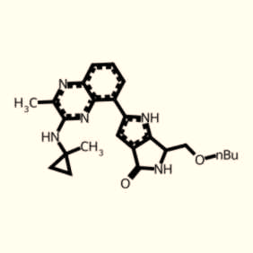 CCCCOCC1NC(=O)c2cc(-c3cccc4nc(C)c(NC5(C)CC5)nc34)[nH]c21